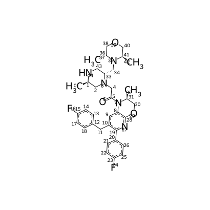 C[C@@H]1CN(CC(=O)N2c3cc(Cc4ccc(F)cc4)c(-c4ccc(F)cc4)nc3OC[C@@H]2C)[C@@H](CN2[C@H](C)COC[C@H]2C)CN1